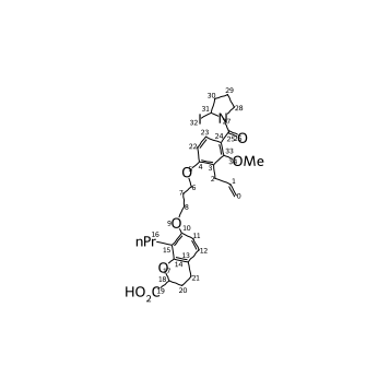 C=CCc1c(OCCCOc2ccc3c(c2CCC)OC(C(=O)O)CC3)ccc(C(=O)N2CCCC2I)c1OC